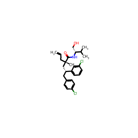 C=CC[C@@](C)(C[C@@H](Cc1ccc(Cl)cc1)c1cccc(Cl)c1)C(=O)N[C@H](CO)C(C)C